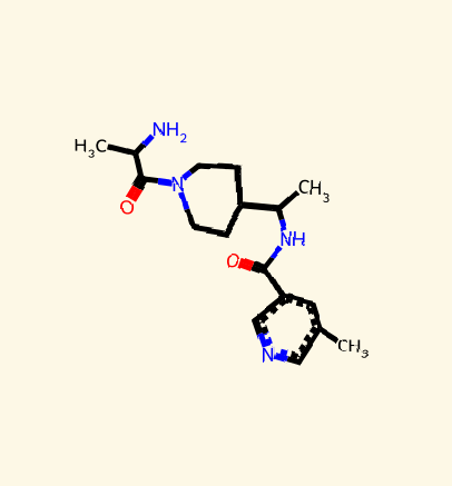 Cc1cncc(C(=O)NC(C)C2CCN(C(=O)C(C)N)CC2)c1